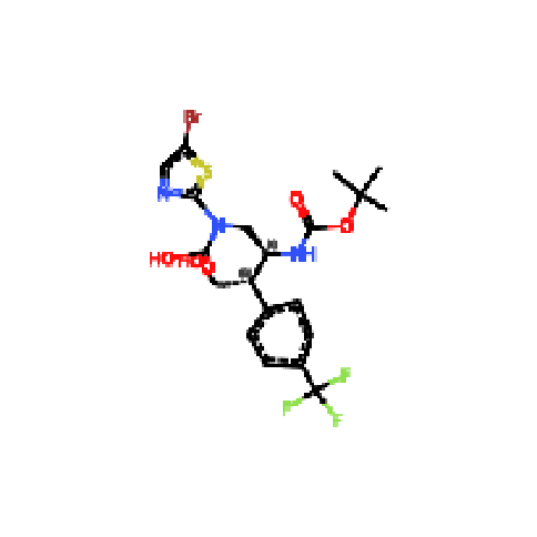 CC(C)(C)OC(=O)N[C@H](CN(C(=O)O)c1ncc(Br)s1)[C@@H](CO)c1ccc(C(F)(F)F)cc1